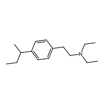 CCC(C)c1ccc(CCN(CC)CC)cc1